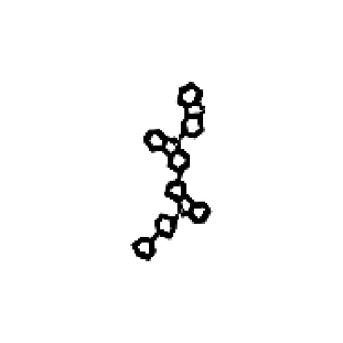 C1=CCCC(C2=CC=C(n3c4ccccc4c4cc(-c5ccc6c(c5)c5ccccc5n6C5=Cc6c(sc7ccccc67)CC5)ccc43)CC2)=C1